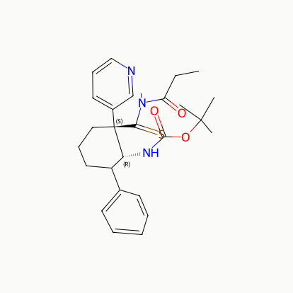 CCC(=O)N(C)C(=S)[C@]1(c2cccnc2)CCCC(c2ccccc2)[C@H]1NC(=O)OC(C)(C)C